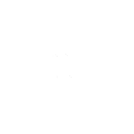 Fc1cc2[nH]c(S)nc2cc1N1CCCCCC1